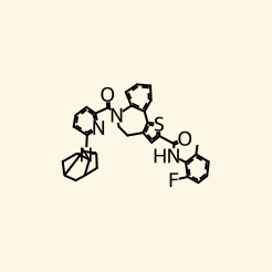 Cc1cccc(F)c1NC(=O)c1cc2c(s1)-c1ccccc1N(C(=O)c1cccc(N3C4CC5CC(C4)CC3C5)n1)CC2